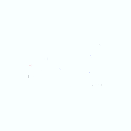 CCCCCN1CN(C(C)(C)C)C=C1C(=O)NCC(C)(C)O